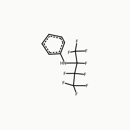 FC(F)(F)C(F)(F)C(F)(Nc1ccccc1)C(F)(F)F